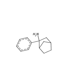 NC1(c2ccccc2)CC2CCC1C2